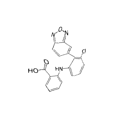 O=C(O)c1ccccc1Nc1cccc(Cl)c1-c1ccc2nonc2c1